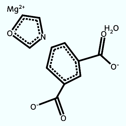 O.O=C([O-])c1cccc(C(=O)[O-])c1.[Mg+2].c1cocn1